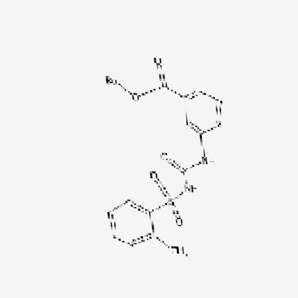 CCCCOC(=O)c1cccc(NC(=O)NS(=O)(=O)c2ccccc2C)c1